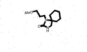 COCCCN1C(=O)NCC12CCCCC2